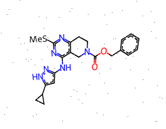 CSc1nc2c(c(Nc3cc(C4CC4)[nH]n3)n1)CN(C(=O)OCc1ccccc1)CC2